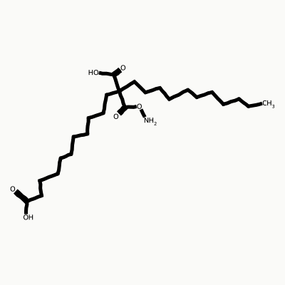 CCCCCCCCCCCC(CCCCCCCCCCC(=O)O)(C(=O)O)C(=O)ON